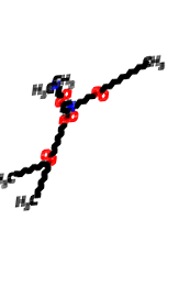 CCCCCCCCCCCC(=O)OCCCCCN1CC(OC(=O)CCN(C)C)C[C@H]1C(=O)OCCCCCCCC(=O)OC(CCCCCCCC)CCCCCCCC